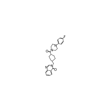 O=C(C1CCC(Cn2cnc3ccccc3c2=O)CC1)N1CCN(c2ccc(F)cc2)CC1